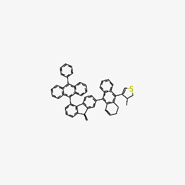 C=C1c2cc(-c3c4c(c(C5=CSCC5C)c5ccccc35)CCC=C4)ccc2-c2c1cccc2-c1c2ccccc2c(-c2ccccc2)c2ccccc12